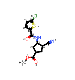 COC(=O)C1CC(C#N)C(NC(=O)c2ccc(Cl)s2)C1